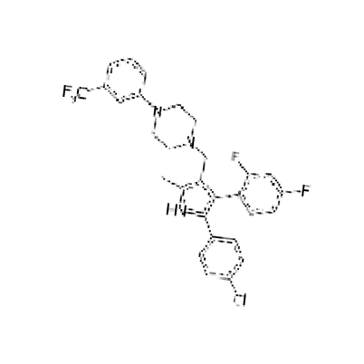 Cc1[nH]c(-c2ccc(Cl)cc2)c(-c2ccc(F)cc2F)c1CN1CCN(c2cccc(C(F)(F)F)c2)CC1